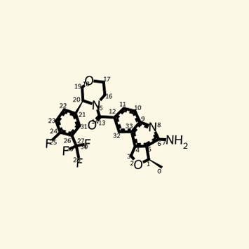 C[C@H]1OCc2c1c(N)nc1ccc(C(=O)N3CCOC[C@@H]3c3ccc(F)c(C(F)(F)F)c3)cc21